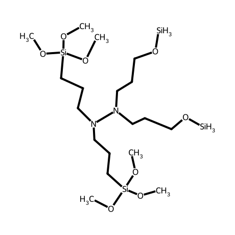 CO[Si](CCCN(CCC[Si](OC)(OC)OC)N(CCCO[SiH3])CCCO[SiH3])(OC)OC